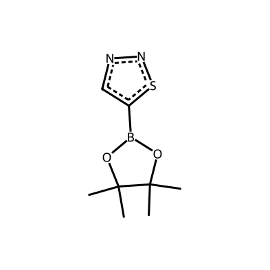 CC1(C)OB(c2cnns2)OC1(C)C